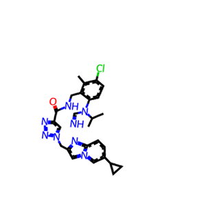 Cc1c(Cl)ccc(N(C=N)C(C)C)c1CNC(=O)c1cn(Cc2cn3cc(C4CC4)ccc3n2)nn1